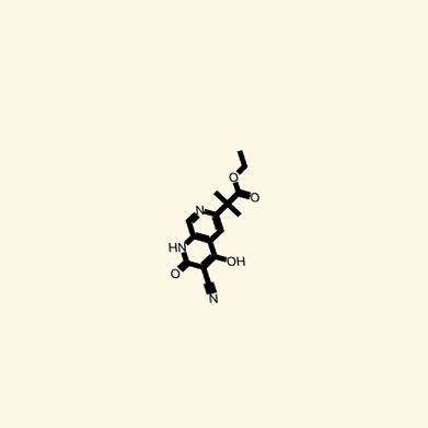 CCOC(=O)C(C)(C)c1cc2c(O)c(C#N)c(=O)[nH]c2cn1